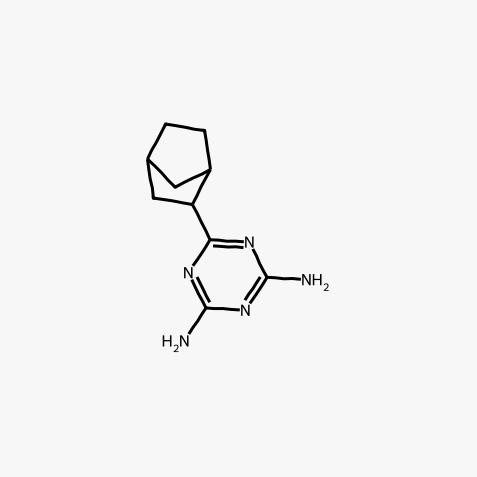 Nc1nc(N)nc(C2CC3CCC2C3)n1